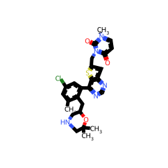 Cc1cc(Cl)cc(-c2ncnc3cc(Cn4c(=O)ccn(C)c4=O)sc23)c1CC1CNCC(C)(C)O1